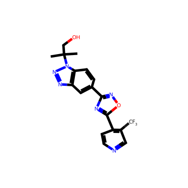 CC(C)(CO)n1nnc2cc(-c3noc(-c4ccncc4C(F)(F)F)n3)ccc21